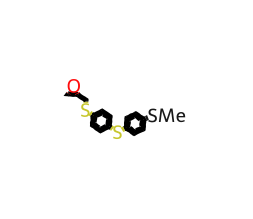 CSc1ccc(Sc2ccc(SCC3CO3)cc2)cc1